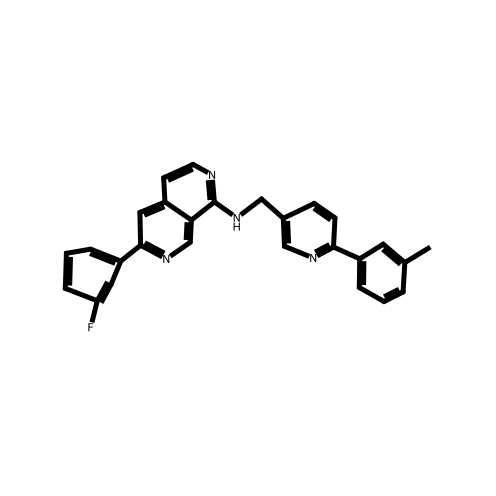 Cc1cccc(-c2ccc(CNc3nccc4cc(-c5cccc(F)c5)ncc34)cn2)c1